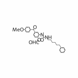 COc1ccc(C(=O)c2ccc(OC=O)c(N(C)C(=O)NCCCCCCc3ccccc3)c2)cc1